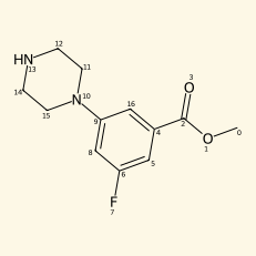 COC(=O)c1cc(F)cc(N2CCNCC2)c1